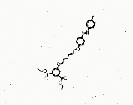 CCOC(=O)c1cc(OCCCCCCOc2ccc(N=Nc3ccc(C)cc3)cc2)cc(C(=O)OCC)c1